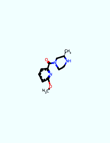 COc1cccc(C(=O)N2CCN[C@@H](C)C2)n1